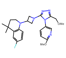 COCc1nnc(N2CC(N3CCC(C)(C)c4cc(F)ccc43)C2)n1-c1ccc(OC)nc1